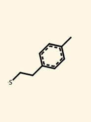 Cc1ccc(CC[S])cc1